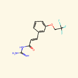 N=C(N)NC(=O)C=Cc1cccc(OCC(F)(F)F)c1